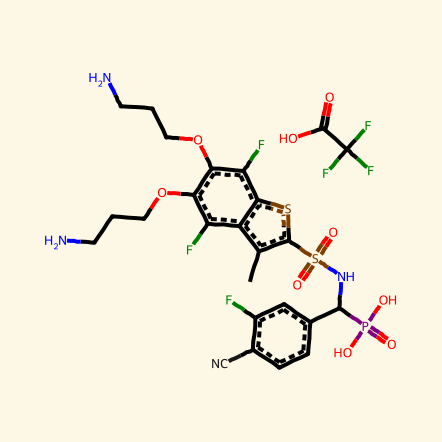 Cc1c(S(=O)(=O)NC(c2ccc(C#N)c(F)c2)P(=O)(O)O)sc2c(F)c(OCCCN)c(OCCCN)c(F)c12.O=C(O)C(F)(F)F